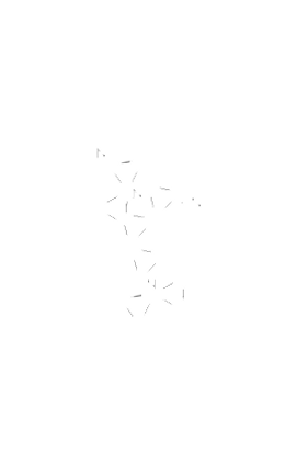 N#Cc1ccc(-n2c3ccccc3c3cc(C#N)ccc32)c(-c2cccc(-c3ccc(-n4c5ccccc5c5ccccc54)cc3)c2)c1